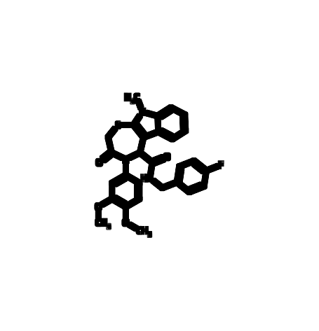 COc1ccc(N2C(=O)CSc3c(c4ccccc4n3C)C2C(=O)NCc2ccc(F)cc2)cc1OC